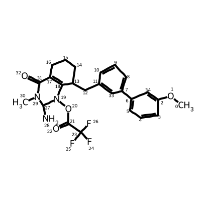 COc1cccc(-c2cccc(CC3CCCC4=C3N(OC(=O)C(F)(F)F)C(N)N(C)C4=O)c2)c1